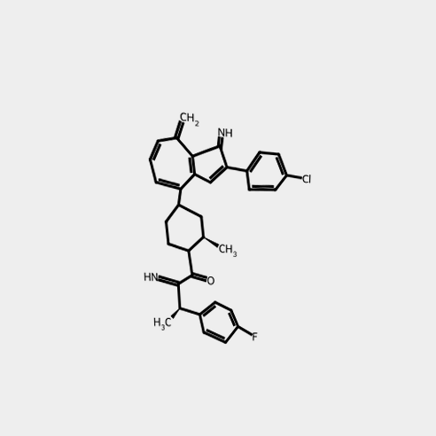 C=C1C=CC=C(C2CCC(C(=O)C(=N)[C@H](C)c3ccc(F)cc3)[C@H](C)C2)C2=C1C(=N)C(c1ccc(Cl)cc1)=C2